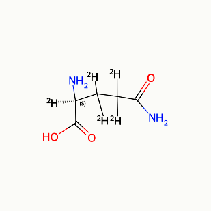 [2H]C([2H])(C(N)=O)C([2H])([2H])[C@]([2H])(N)C(=O)O